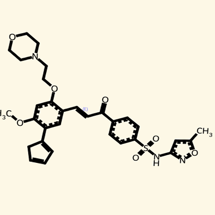 COc1cc(OCCN2CCOCC2)c(/C=C/C(=O)c2ccc(S(=O)(=O)Nc3cc(C)on3)cc2)cc1C1=CC=CC1